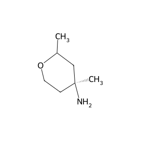 CC1C[C@@](C)(N)CCO1